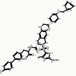 COC(=O)C(Cc1ccc(-c2ccc(C#N)cc2)cc1)NC(=O)[C@@H]1Cc2cc3c(cc2CN1S(=O)(=O)c1sc(NC(C)=O)nc1C)O[C@@H](c1ccc(OCc2ccccc2)cc1)CO3